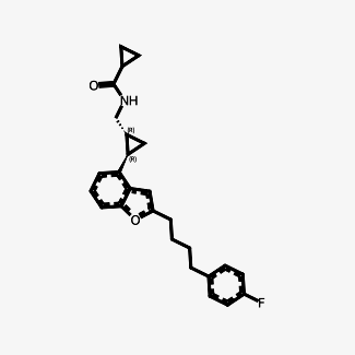 O=C(NC[C@@H]1C[C@H]1c1cccc2oc(CCCCc3ccc(F)cc3)cc12)C1CC1